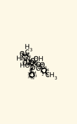 Cc1ccc(S(=O)(=O)OC[C@]2(CO)O[C@@H](n3cc(C)c(=O)[nH]c3=O)[C@H](O)[C@H]2OCc2ccccc2)cc1